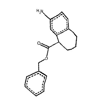 Nc1ccc2c(c1)C(C(=O)OCc1ccccc1)CCC2